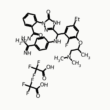 CCc1cc(OC(C)CN(C)C)c(F)c(C(Nc2ccc(C(=N)N)cc2)c2nn(-c3ccccc3C(N)=O)c(=O)[nH]2)c1.O=C(O)C(F)(F)F.O=C(O)C(F)(F)F